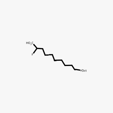 CCCCCCCCCCCCCCCCC(F)C(=O)O